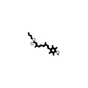 CCCCOC(=O)C=C(C)C=CC=C(C)C=Cc1c(C)c(C)c(OC)c(C)c1C